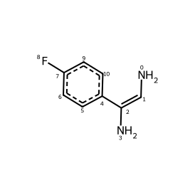 N/C=C(/N)c1ccc(F)cc1